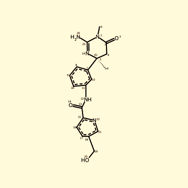 CN1C(=O)C[C@@](C)(c2cccc(NC(=O)c3ccc(CO)cn3)c2)N=C1N